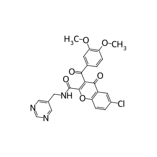 COc1ccc(C(=O)c2c(C(=O)NCc3cncnc3)oc3ccc(Cl)cc3c2=O)cc1OC